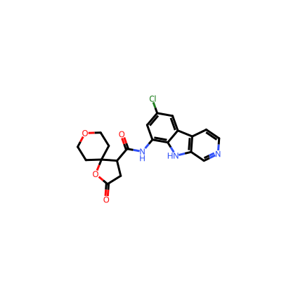 O=C1CC(C(=O)Nc2cc(Cl)cc3c2[nH]c2cnccc23)C2(CCOCC2)O1